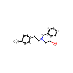 O=[N+]([O-])c1ccc(CCN(CCO)Cc2ccccc2)cc1